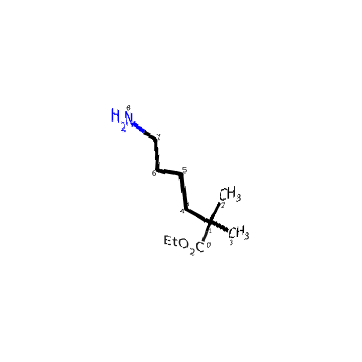 CCOC(=O)C(C)(C)CCCCN